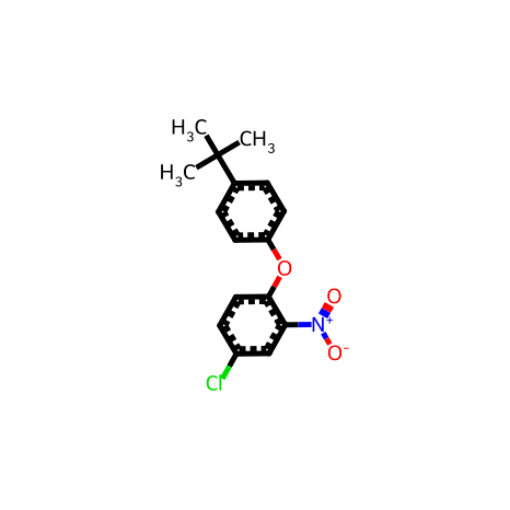 CC(C)(C)c1ccc(Oc2ccc(Cl)cc2[N+](=O)[O-])cc1